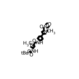 Cn1cc(NC(=O)OC(C)(C)C)cc1C(=O)Nc1ccc(-c2cc(C(=O)N3CCOCC3)n(C)c2)cc1